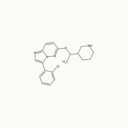 CC(Oc1ccc2ncc(-c3ccccc3Cl)n2n1)C1CCCNC1